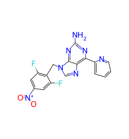 Nc1nc(-c2ccccn2)c2ncn(Cc3c(F)cc([N+](=O)[O-])cc3F)c2n1